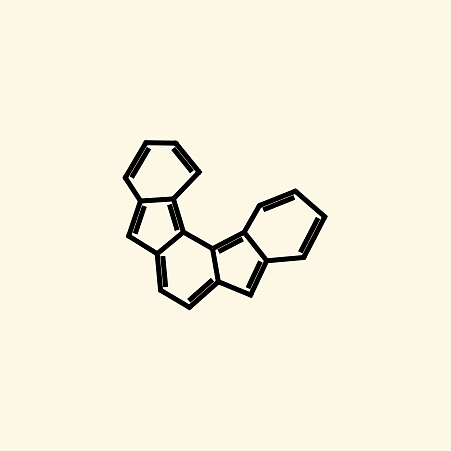 C1=c2ccccc2=c2c1ccc1c2=c2ccccc2=C1